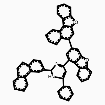 C1=C(c2ccccc2)NC(c2ccc3ccc4ccccc4c3c2)N=C1c1cc(-c2cc3oc4ccccc4c3c3ccccc23)cc2oc3ccccc3c12